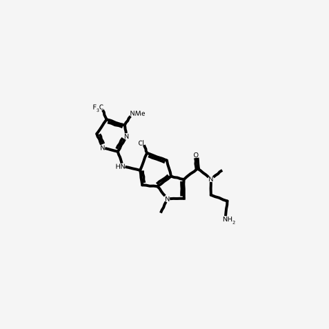 CNc1nc(Nc2cc3c(cc2Cl)c(C(=O)N(C)CCN)cn3C)ncc1C(F)(F)F